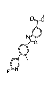 COC(=O)c1ccc2oc(-c3ccc(-c4ccc(F)nc4)c(C)c3)nc2c1